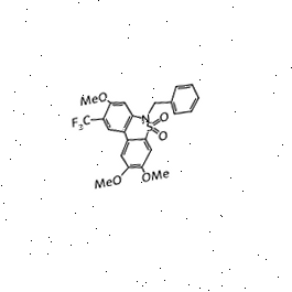 COc1cc2c(cc1OC)S(=O)(=O)N(Cc1ccccc1)c1cc(OC)c(C(F)(F)F)cc1-2